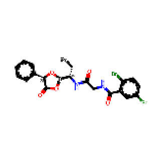 CC(C)C[C@H](NC(=O)CNC(=O)c1cc(Br)ccc1Br)B1OC(=O)[C@@H](c2ccccc2)O1